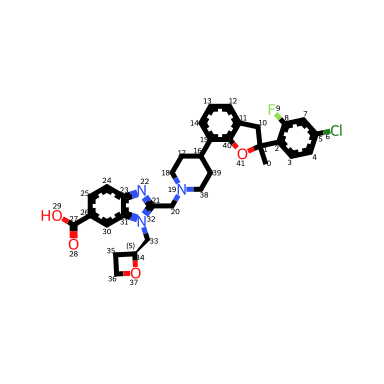 CC1(c2ccc(Cl)cc2F)Cc2cccc(C3CCN(Cc4nc5ccc(C(=O)O)cc5n4C[C@@H]4CCO4)CC3)c2O1